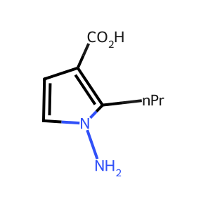 CCCc1c(C(=O)O)ccn1N